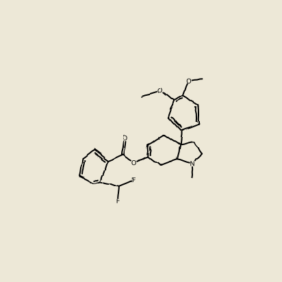 COc1ccc(C23CC=C(OC(=O)c4ccccc4C(F)F)CC2N(C)CC3)cc1OC